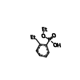 CCOP(=O)(O)c1ccccc1CC